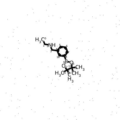 CCNCc1cccc(B2OC(C)(C)C(C)(C)O2)c1